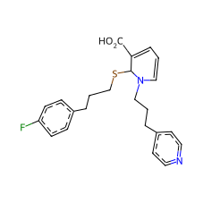 O=C(O)C1=CC=CN(CCCc2ccncc2)C1SCCCc1ccc(F)cc1